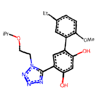 CCc1ccc(OC)c(-c2cc(-c3nnnn3CCOC(C)C)c(O)cc2O)c1